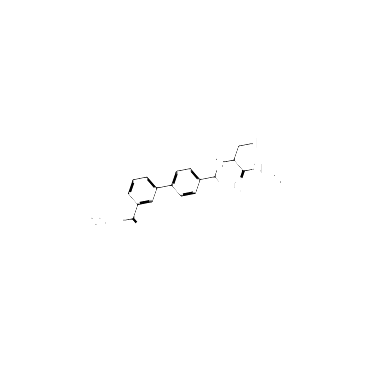 COC(=O)c1cccc(-c2ccc(C(NC(CC(C)C)C(=O)N(C)C#N)C(F)(F)F)cc2)c1